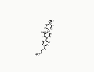 OCCCc1ccc(-c2ccc(-c3ccc(O)cc3)c(F)c2)cc1